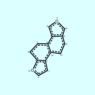 c1cc2c(ccc3c4cocc4ccc23)o1